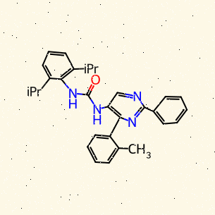 Cc1ccccc1-c1nc(-c2ccccc2)ncc1NC(=O)Nc1c(C(C)C)cccc1C(C)C